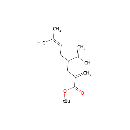 C=C(CC(CC=C(C)C)C(=C)C)C(=O)OC(C)(C)C